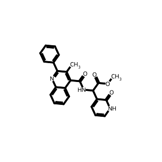 COC(=O)C(NC(=O)c1c(C)c(-c2ccccc2)nc2ccccc12)c1ccc[nH]c1=O